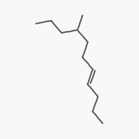 CCCC=CCCC(C)CCC